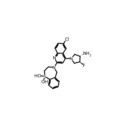 N[C@H]1CN(c2cc(N3CCS(O)(O)c4ccccc4C3)nc3ccc(Cl)cc23)C[C@@H]1F